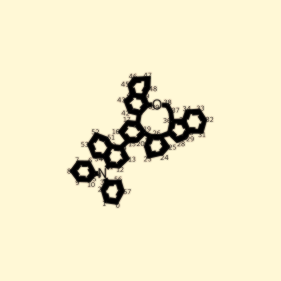 c1ccc(N(c2ccccc2)c2ccc(-c3ccc4c(c3)-c3ccccc3-c3ccc5ccccc5c3CCOc3c-4ccc4ccccc34)c3ccccc23)cc1